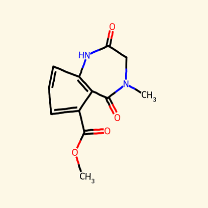 COC(=O)c1cccc2c1C(=O)N(C)CC(=O)N2